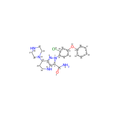 NC(=O)c1c2c(nn1-c1ccc(Oc3ccccc3)cc1Cl)C(N1CCNCC1)CCN2